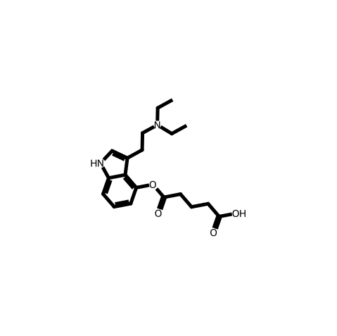 CCN(CC)CCc1c[nH]c2cccc(OC(=O)CCCC(=O)O)c12